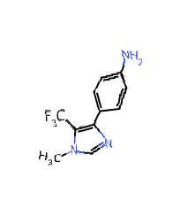 Cn1cnc(-c2ccc(N)cc2)c1C(F)(F)F